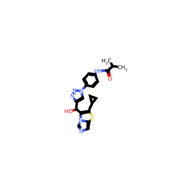 CC(C)C(=O)Nc1ccc(-n2cc(C(O)c3c(C4CC4)sc4cncn34)nn2)cc1